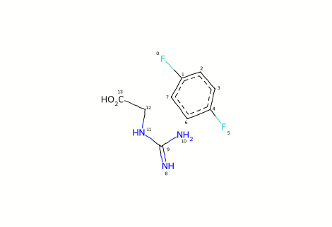 Fc1ccc(F)cc1.N=C(N)NCC(=O)O